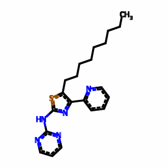 CCCCCCCCCc1sc(Nc2ncccn2)nc1-c1ccccn1